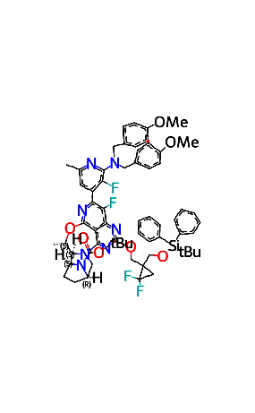 COc1ccc(CN(Cc2ccc(OC)cc2)c2nc(C)cc(-c3nc4c5c(nc(OCC6(CO[Si](c7ccccc7)(c7ccccc7)C(C)(C)C)CC6(F)F)nc5c3F)N3C[C@H]5CC[C@@H]([C@H]3[C@H](C)O4)N5C(=O)OC(C)(C)C)c2F)cc1